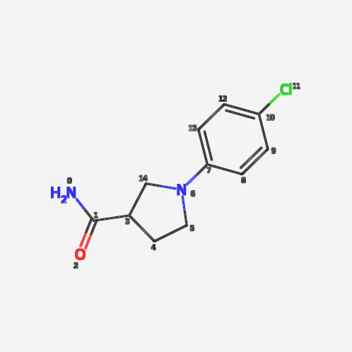 NC(=O)C1CCN(c2ccc(Cl)cc2)C1